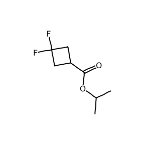 CC(C)OC(=O)C1CC(F)(F)C1